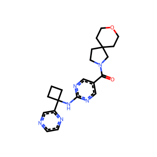 O=C(c1cnc(NC2(c3cnccn3)CCC2)nc1)N1CCC2(CCOCC2)C1